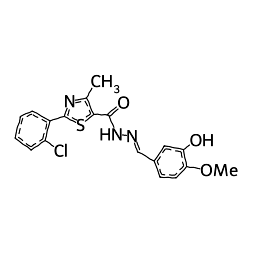 COc1ccc(/C=N/NC(=O)c2sc(-c3ccccc3Cl)nc2C)cc1O